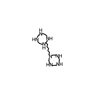 C(CCCN1CCCNCCNCCCNCC1)CCC1CNCCCNCCNCCCN1